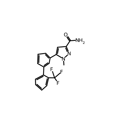 Cn1nc(C(N)=O)cc1-c1cccc(-c2ccccc2C(F)(F)F)c1